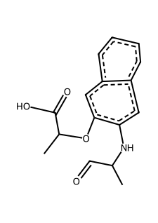 CC(C=O)Nc1cc2ccccc2cc1OC(C)C(=O)O